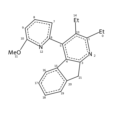 CCc1nc2c(c(-c3cccc(OC)n3)c1CC)-c1ccccc1C2